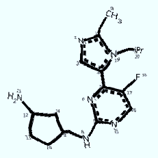 Cc1ncc(-c2nc(NC3CCC(N)C3)ncc2F)n1C(C)C